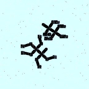 CCO[Si](C)(OCC)[Si](OCC)(OCC)OCC.CO[Si](C)(OC)[Si](OC)(OC)OC